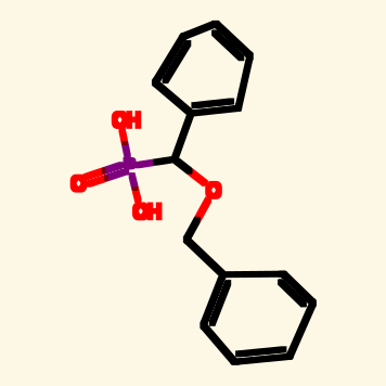 O=P(O)(O)C(OCc1ccccc1)c1ccccc1